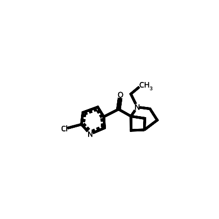 CCN1CCC2CC1(C(=O)c1ccc(Cl)nc1)C2